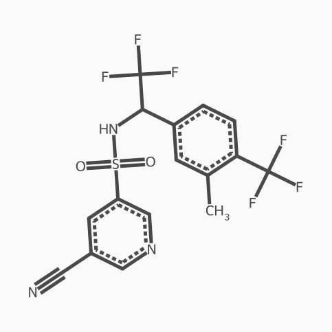 Cc1cc(C(NS(=O)(=O)c2cncc(C#N)c2)C(F)(F)F)ccc1C(F)(F)F